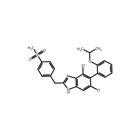 CC(C)Oc1ccccc1-c1c(Cl)cc2[nH]c(Cc3ccc(S(C)(=O)=O)cc3)nc2c1Cl